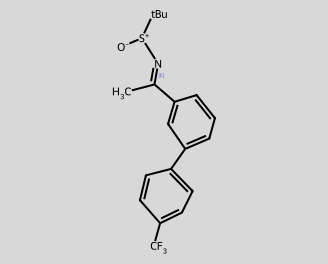 C/C(=N\[S+]([O-])C(C)(C)C)c1cccc(-c2ccc(C(F)(F)F)cc2)c1